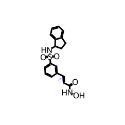 O=C(/C=C/c1cccc(S(=O)(=O)NC2CCc3ccccc32)c1)NO